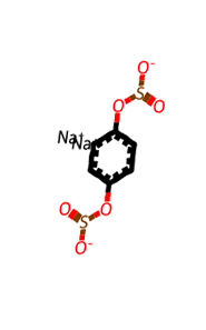 O=S([O-])Oc1ccc(OS(=O)[O-])cc1.[Na+].[Na+]